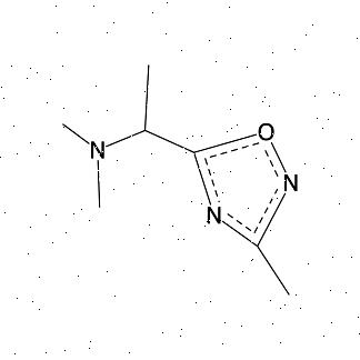 Cc1noc(C(C)N(C)C)n1